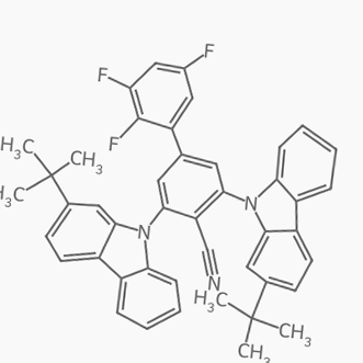 CC(C)(C)c1ccc2c3ccccc3n(-c3cc(-c4cc(F)cc(F)c4F)cc(-n4c5ccccc5c5ccc(C(C)(C)C)cc54)c3C#N)c2c1